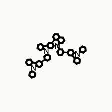 c1ccc(-n2c3ccccc3c3cc(-c4cccc(N5c6cc7c(cc6-c6cccc8cccc5c68)c5ccccc5n7-c5cccc(-c6ccc7c(c6)c6ccccc6n7-c6ccccc6)c5)c4)ccc32)cc1